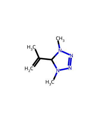 C=C(C)C1N(C)N=NN1C